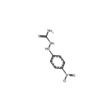 NC(=S)NNc1ccc([N+](=O)[O-])cc1